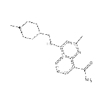 Cc1cc(NCC2CCN(C)CC2)c2cccc(C(N)=O)c2n1